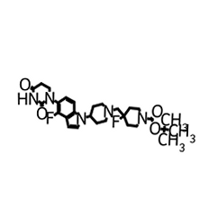 CC(C)(C)OC(=O)N1CCC(F)(CN2CCC(n3ccc4c(F)c(N5CCC(=O)NC5=O)ccc43)CC2)CC1